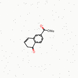 COC(=O)c1ccc2c(c1)C=CCC2=O